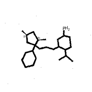 CC(C)C1CCC(P)CC1CCCC1(C2CCCCC2)C[C@@H](C)C[C@H]1C